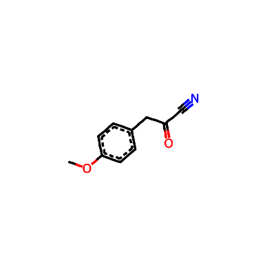 COc1ccc(CC(=O)C#N)cc1